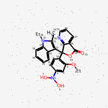 CCOc1cc(N(O)O)ccc1C1(c2c(C)n(CC)c3ccccc23)OC(=O)c2cccnc21